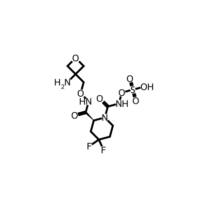 NC1(CONC(=O)[C@@H]2CC(F)(F)CCN2C(=O)NOS(=O)(=O)O)COC1